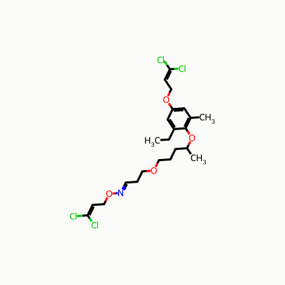 CCc1cc(OCC=C(Cl)Cl)cc(C)c1OC(C)CCCOCCC=NOCC=C(Cl)Cl